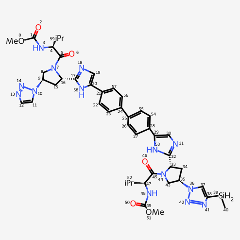 COC(=O)N[C@H](C(=O)N1C[C@H](n2ccnn2)C[C@H]1c1ncc(-c2ccc(-c3ccc(-c4cnc([C@@H]5C[C@@H](n6cc([SiH2]C)nn6)CN5C(=O)[C@@H](NC(=O)OC)C(C)C)[nH]4)cc3)cc2)[nH]1)C(C)C